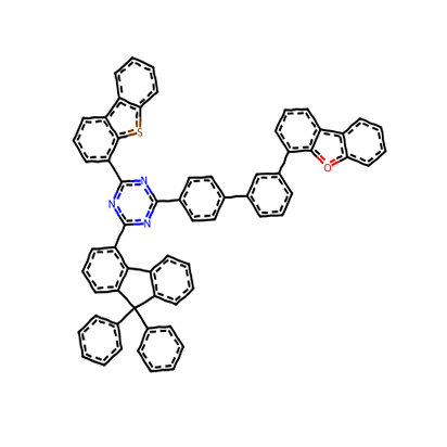 c1ccc(C2(c3ccccc3)c3ccccc3-c3c(-c4nc(-c5ccc(-c6cccc(-c7cccc8c7oc7ccccc78)c6)cc5)nc(-c5cccc6c5sc5ccccc56)n4)cccc32)cc1